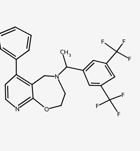 CC(c1cc(C(F)(F)F)cc(C(F)(F)F)c1)N1CCOc2nccc(-c3ccccc3)c2C1